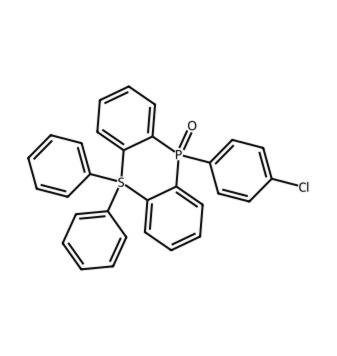 O=P1(c2ccc(Cl)cc2)c2ccccc2S(c2ccccc2)(c2ccccc2)c2ccccc21